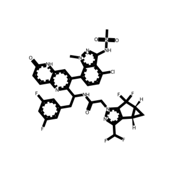 Cn1nc(NS(C)(=O)=O)c2c(Cl)ccc(-c3cc4[nH]c(=O)ccc4nc3C(Cc3cc(F)cc(F)c3)NC(=O)Cn3nc(C(F)F)c4c3C(F)(F)[C@@H]3C[C@H]43)c21